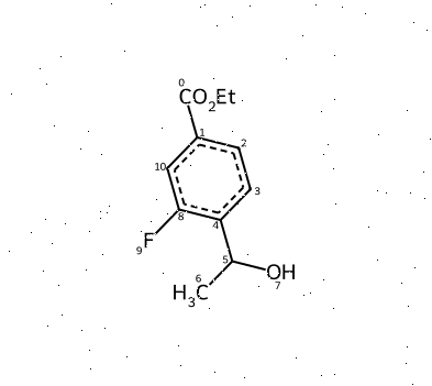 CCOC(=O)c1ccc(C(C)O)c(F)c1